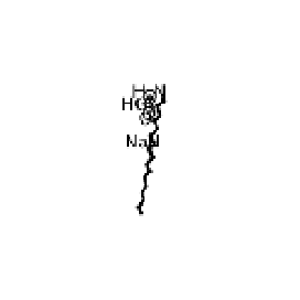 CCCCCCCCCCCCCC(=O)CC(CN)S(=O)(=O)O.[NaH]